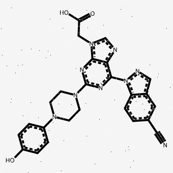 N#Cc1ccc2c(cnn2-c2nc(N3CCN(c4ccc(O)cc4)CC3)nc3c2ncn3CC(=O)O)c1